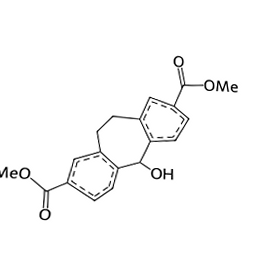 COC(=O)c1ccc2c(c1)CCc1cc(C(=O)OC)ccc1C2O